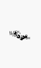 CC(C)(C)OC(=O)N1CCC(n2ccc3cc(C(=O)O)cnc32)CC1